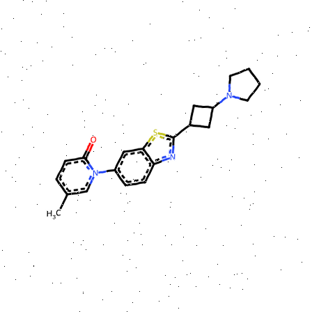 Cc1ccc(=O)n(-c2ccc3nc(C4CC(N5CCCC5)C4)sc3c2)c1